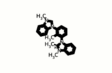 Cc1c(N2CN(C)c3ccccc32)cccc1N1c2ccccc2N(C)[C@H]1C